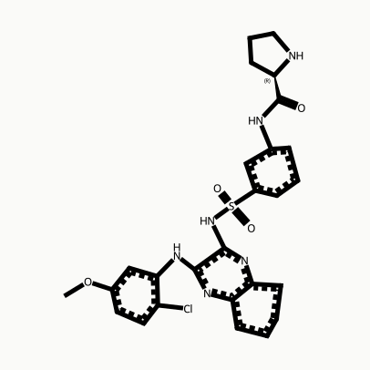 COc1ccc(Cl)c(Nc2nc3ccccc3nc2NS(=O)(=O)c2cccc(NC(=O)[C@H]3CCCN3)c2)c1